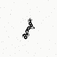 CCO[C@@H]1Cc2cc(C(F)(F)F)ccc2C1N1CCN(C2(C)CCN(C(=O)c3ccnc4ccccc34)CC2)C[C@@H]1C